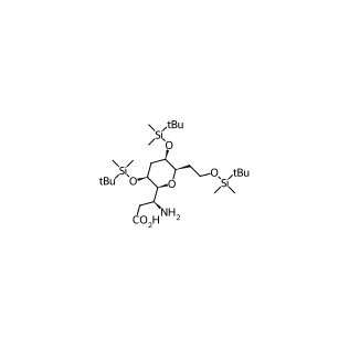 CC(C)(C)[Si](C)(C)OCC[C@H]1O[C@@H]([C@@H](N)CC(=O)O)[C@@H](O[Si](C)(C)C(C)(C)C)C[C@H]1O[Si](C)(C)C(C)(C)C